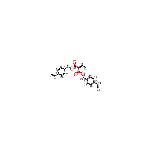 C=Cc1ccc(COC(=O)C(=CC)C(=O)OCc2ccc(C=C)cc2)cc1